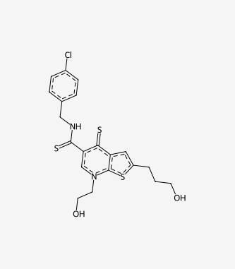 OCCCc1cc2c(=S)c(C(=S)NCc3ccc(Cl)cc3)cn(CCO)c2s1